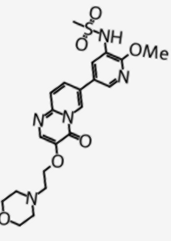 COc1ncc(-c2ccc3ncc(OCCN4CCOCC4)c(=O)n3c2)cc1NS(C)(=O)=O